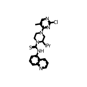 Cc1cnc(Cl)nc1N1CCN(C(=S)Nc2cccc3ncccc23)C(C(C)C)C1